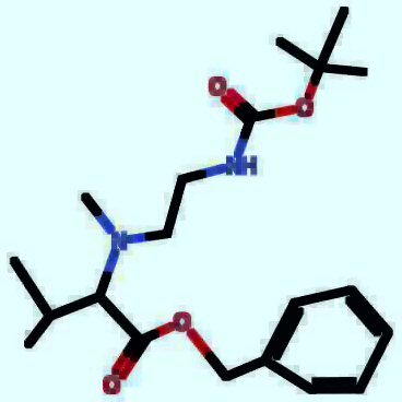 CC(C)C(C(=O)OCc1ccccc1)N(C)CCNC(=O)OC(C)(C)C